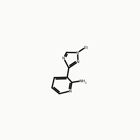 CCn1cnc(-c2cccnc2N)n1